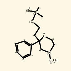 CC(C)(C)[Si](C)(C)OCCC1(c2ccccc2)CN(C(=O)O)CCO1